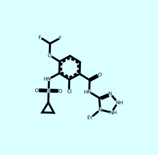 CCN1NNN=C1NC(=O)c1ccc(OC(F)F)c(NS(=O)(=O)C2CC2)c1Cl